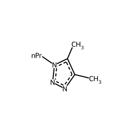 CCCn1nnc(C)c1C